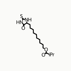 CC(C)C(=O)OCCCCCCCCCCC1NC(=S)NC1=O